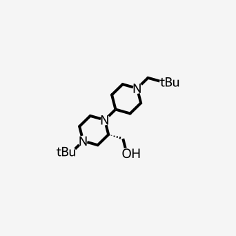 CC(C)(C)CN1CCC(N2CCN(C(C)(C)C)C[C@H]2CO)CC1